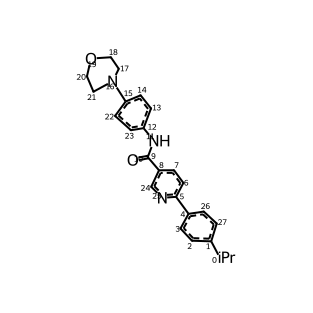 CC(C)c1ccc(-c2ccc(C(=O)Nc3ccc(N4CCOCC4)cc3)cn2)cc1